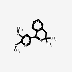 COc1cc(C2=NC(C)(C)Cc3ccccc32)cnc1OC